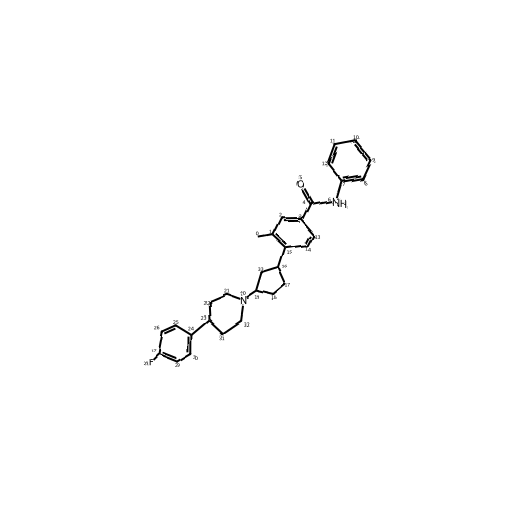 Cc1cc(C(=O)Nc2ccccc2)ccc1C1CCC(N2CCC(c3ccc(F)cc3)CC2)C1